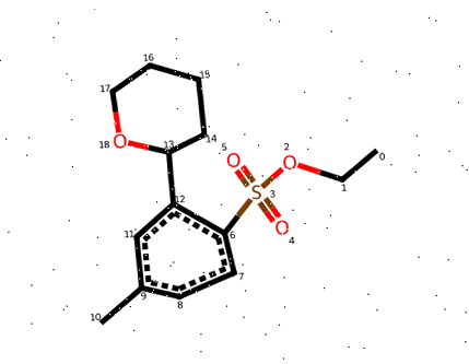 CCOS(=O)(=O)c1ccc(C)cc1C1CCCCO1